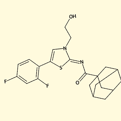 O=C(N=c1sc(-c2ccc(F)cc2F)cn1CCO)C12CC3CC(CC(C3)C1)C2